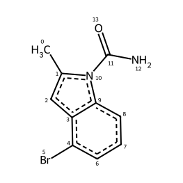 Cc1cc2c(Br)cccc2n1C(N)=O